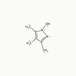 Cc1nn(O)c(C)c1C